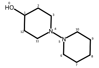 OC1CCN(N2CCCCC2)CC1